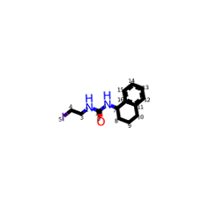 O=C(NCCI)NC1CCCc2ccccc21